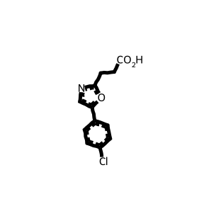 O=C(O)CCc1ncc(-c2ccc(Cl)cc2)o1